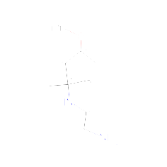 CC(C)OC(C)CC(C)(C)NCCN